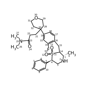 C[C@@H]1NC[C@@H](c2ccccc2)S(=O)(=O)C1Cc1ccc(C2(CCC(=O)N(C)C)CCOCC2)cc1F